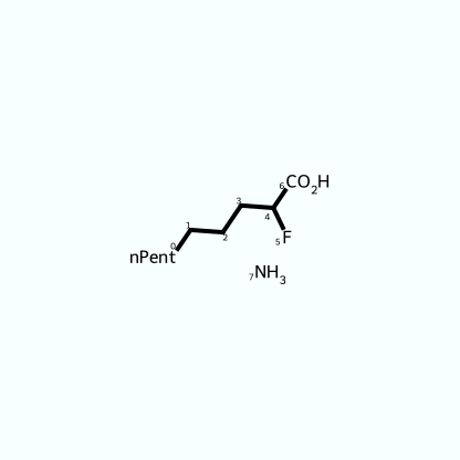 CCCCCCCCC(F)C(=O)O.N